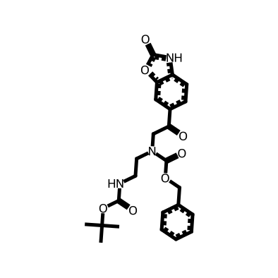 CC(C)(C)OC(=O)NCCN(CC(=O)c1ccc2[nH]c(=O)oc2c1)C(=O)OCc1ccccc1